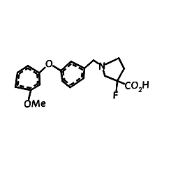 COc1cccc(Oc2cccc(CN3CCC(F)(C(=O)O)C3)c2)c1